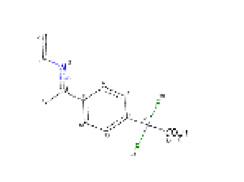 C=C/N=C(\C)c1ccc(C(F)(F)C(=O)O)cc1